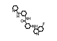 O=C(Nc1cccc(Nc2ccccn2)c1)c1cccc(Nc2ccnc3ccc(F)cc23)c1